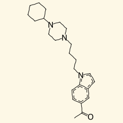 CC(=O)c1ccc2c(ccn2CCCCN2CCN(C3CCCCC3)CC2)c1